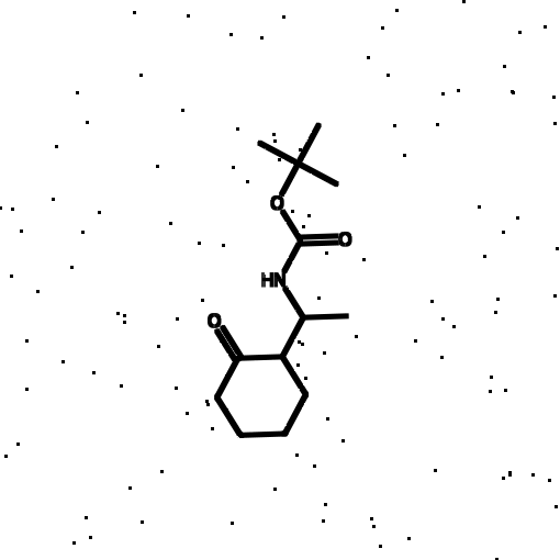 CC(NC(=O)OC(C)(C)C)C1CCCCC1=O